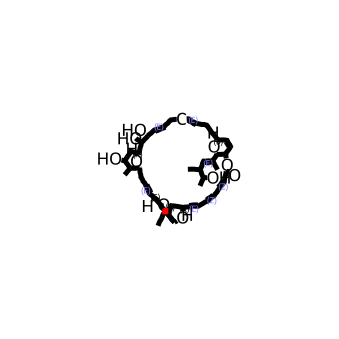 C/C(=C\C(C)C(C)O)C1O[C@@H]2C=CC1OC(=O)\C=C/C=C\C=C\[C@H]1OC3C[C@@H]1O[C@@H](/C=C/CC1O[C@H](CC(O)C1C)C(O)C(O)/C=C/CC/C=C/C2)C3C